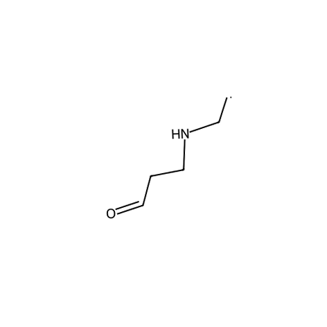 [CH2]CNCCC=O